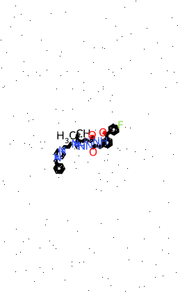 CC(C)c1c(/C=c2\[nH]c(=O)/c(=C/c3cccc(C(=O)c4ccc(F)cc4)c3)[nH]c2=O)ncn1CCCN1CCN(Cc2ccccc2)CC1